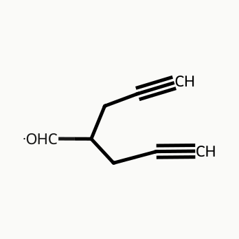 C#CCC([C]=O)CC#C